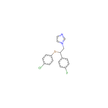 Fc1ccc(C(Cn2ccnc2)Sc2ccc(Cl)cc2)cc1